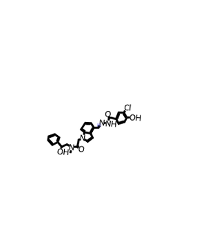 CN(CC(O)c1ccccc1)C(=O)Cn1ccc2c(/C=N/NC(=O)c3ccc(O)c(Cl)c3)cccc21